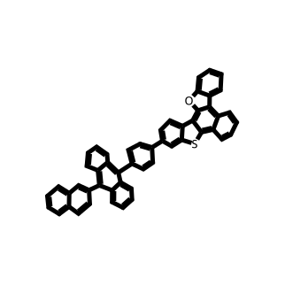 c1ccc2cc(-c3c4ccccc4c(-c4ccc(-c5ccc6c(c5)sc5c7ccccc7c7c8ccccc8oc7c65)cc4)c4ccccc34)ccc2c1